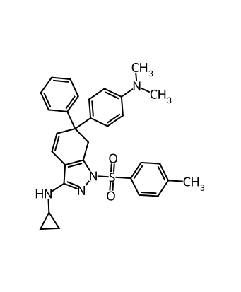 Cc1ccc(S(=O)(=O)n2nc(NC3CC3)c3c2CC(c2ccccc2)(c2ccc(N(C)C)cc2)C=C3)cc1